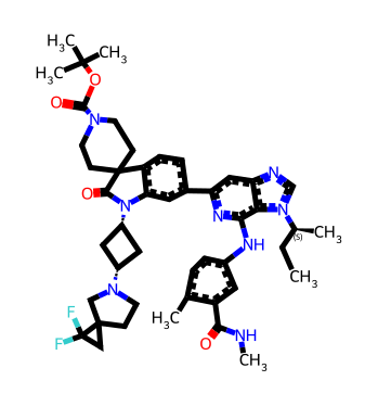 CC[C@H](C)n1cnc2cc(-c3ccc4c(c3)N([C@H]3C[C@@H](N5CCC6(C5)CC6(F)F)C3)C(=O)C43CCN(C(=O)OC(C)(C)C)CC3)nc(Nc3ccc(C)c(C(=O)NC)c3)c21